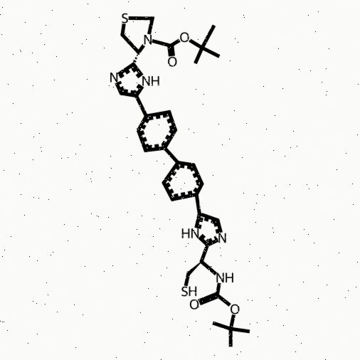 CC(C)(C)OC(=O)N[C@@H](CS)c1ncc(-c2ccc(-c3ccc(-c4cnc([C@@H]5CSCN5C(=O)OC(C)(C)C)[nH]4)cc3)cc2)[nH]1